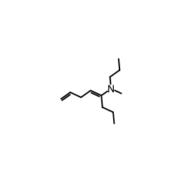 C=CC/C=C(\CCC)N(C)CCC